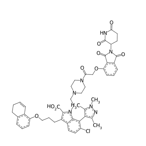 Cc1nn(C)c(C)c1-c1c(Cl)ccc2c(CCCOc3cccc4c3C=CCC4)c(C(=O)O)n(CCN3CCN(C(=O)COc4cccc5c4C(=O)N(C4CCC(=O)NC4=O)C5=O)CC3)c12